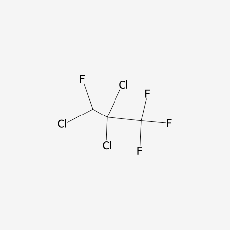 FC(Cl)C(Cl)(Cl)C(F)(F)F